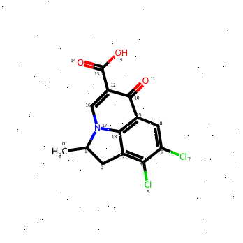 CC1Cc2c(Cl)c(Cl)cc3c(=O)c(C(=O)O)cn1c23